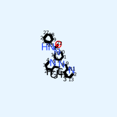 Cc1cccnc1CN(Cc1ncccc1C)C1CCN(C(=O)Nc2ccccc2)CC1